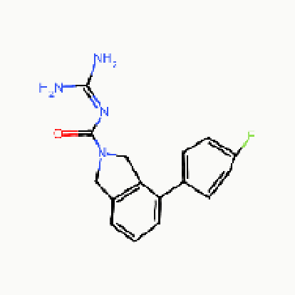 NC(N)=NC(=O)N1Cc2cccc(-c3ccc(F)cc3)c2C1